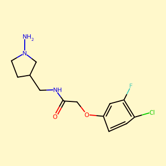 NN1CCC(CNC(=O)COc2ccc(Cl)c(F)c2)C1